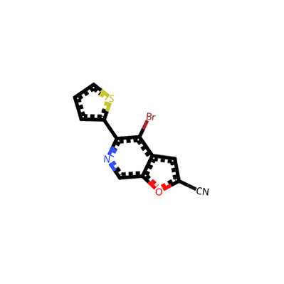 N#Cc1cc2c(Br)c(-c3cccs3)ncc2o1